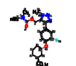 CCCCN(C)C(=O)OCc1c(-c2ccc(O[C@H]3CCC[C@H](C(=O)O)C3)c(F)c2)nnn1C